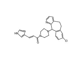 O=C(C=Cc1c[nH]cn1)N1CCN(C2c3ccc(Cl)cc3CCc3cccnc32)CC1